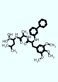 COc1cc(CC(Nc2cccc(-c3ccccc3)c2)C(=O)NC(C)C(=O)NC(CC(C)C)B(O)O)cc(OC)c1OC